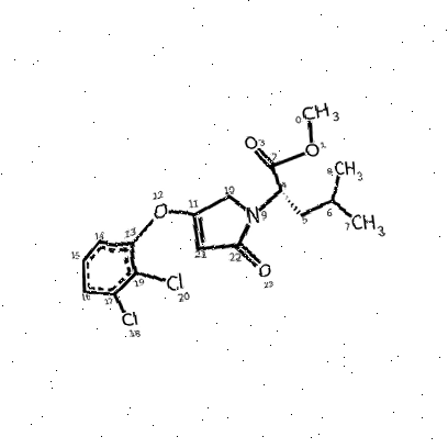 COC(=O)[C@H](CC(C)C)N1CC(Oc2cccc(Cl)c2Cl)=CC1=O